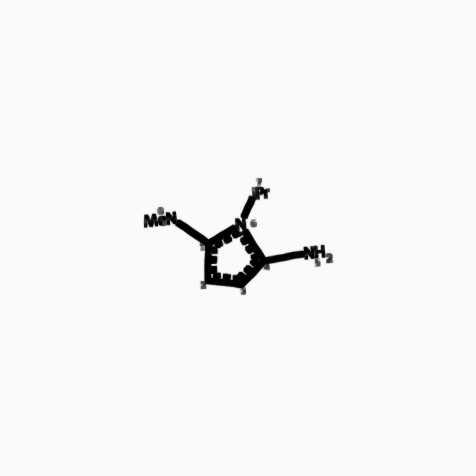 CNc1ccc(N)n1C(C)C